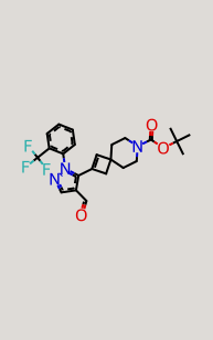 CC(C)(C)OC(=O)N1CCC2(C=C(c3c(C=O)cnn3-c3ccccc3C(F)(F)F)C2)CC1